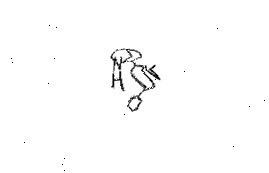 c1ccc(-c2cncc(C3CCC4CCNC3C4)c2)cc1